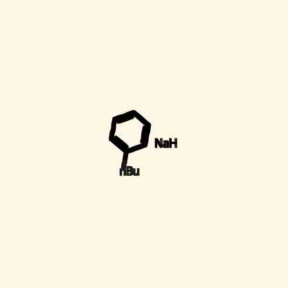 [CH2]CCCc1ccccc1.[NaH]